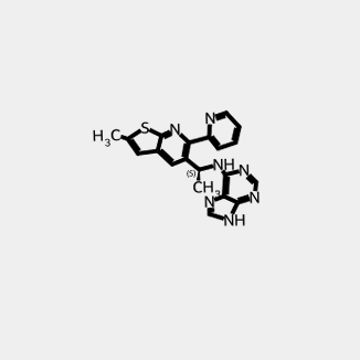 Cc1cc2cc([C@H](C)Nc3ncnc4[nH]cnc34)c(-c3ccccn3)nc2s1